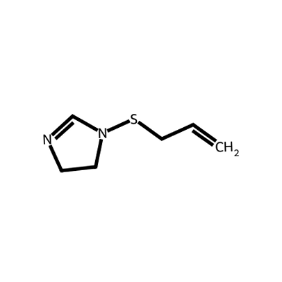 C=CCSN1C=NCC1